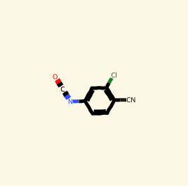 N#Cc1ccc(N=C=O)cc1Cl